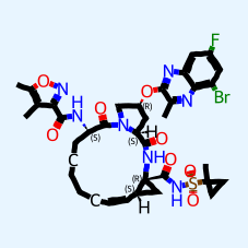 Cc1nc2c(Br)cc(F)cc2nc1O[C@@H]1C[C@H]2C(=O)N[C@]3(C(=O)NS(=O)(=O)C4(C)CC4)C[C@H]3C=CCCCCC[C@H](NC(=O)c3noc(C)c3C)C(=O)N2C1